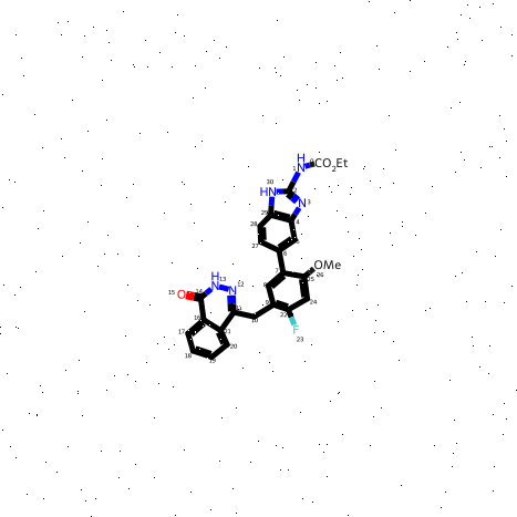 CCOC(=O)Nc1nc2cc(-c3cc(Cc4n[nH]c(=O)c5ccccc45)c(F)cc3OC)ccc2[nH]1